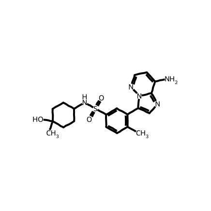 Cc1ccc(S(=O)(=O)NC2CCC(C)(O)CC2)cc1-c1cnc2c(N)ccnn12